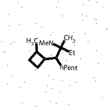 CCCCCC(C1CCC1C)C(C)(CC)NC